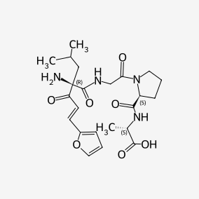 CC(C)C[C@@](N)(C(=O)C=Cc1ccco1)C(=O)NCC(=O)N1CCC[C@H]1C(=O)N[C@@H](C)C(=O)O